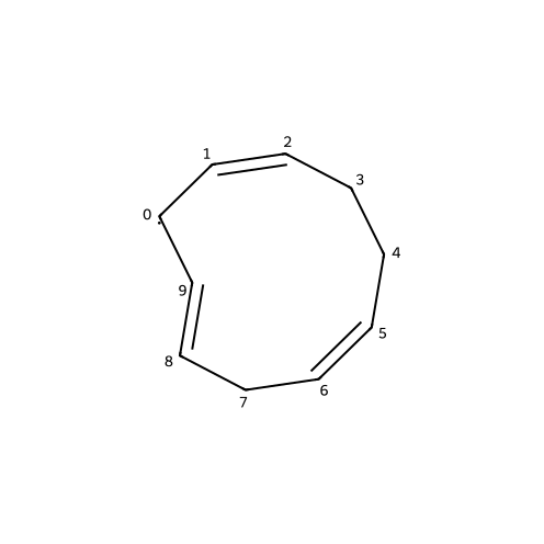 [CH]1/C=C\CC/C=C\C/C=C/1